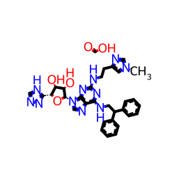 Cn1cnc(CCNc2nc(NCC(c3ccccc3)c3ccccc3)c3ncn([C@@H]4O[C@H](c5nnc[nH]5)[C@@H](O)[C@H]4O)c3n2)c1.O=CO